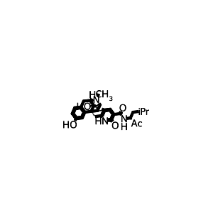 CC(=O)[C@H](CC(C)C)NC(=O)c1cc2c([nH]c1=O)C[C@]13CCN(C)[C@H](Cc4ccc(O)cc41)[C@]3(O)C2